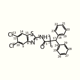 CC(C)(C(=O)Nc1nc2cc(Cl)c(Cl)cc2s1)C(c1ccccc1)c1ccccc1